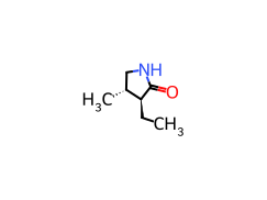 CC[C@@H]1C(=O)NC[C@H]1C